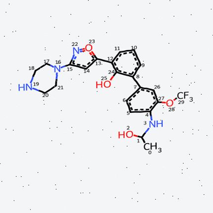 CC(O)Nc1ccc(-c2cccc(-c3cc(N4CCNCC4)no3)c2O)cc1OC(F)(F)F